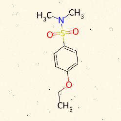 CCOc1ccc(S(=O)(=O)N(C)C)cc1